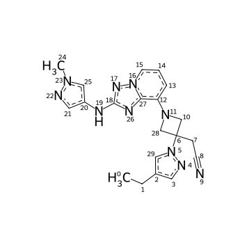 CCc1cnn(C2(CC#N)CN(c3cccn4nc(Nc5cnn(C)c5)nc34)C2)c1